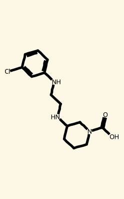 O=C(O)N1CCCC(NCCNc2cccc(Cl)c2)C1